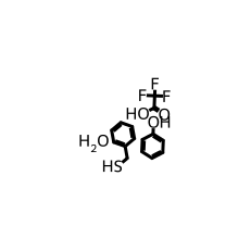 O.O=C(O)C(F)(F)F.Oc1ccccc1.SCc1ccccc1